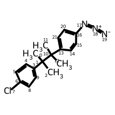 CC(C)(c1ccc(Cl)cc1)C(C)(C)c1ccc(N=[N+]=[N-])cc1